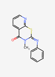 Cn1c(=Nc2ccccc2)sc2ncccc2c1=O